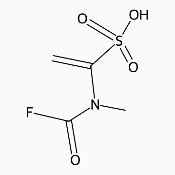 C=C(N(C)C(=O)F)S(=O)(=O)O